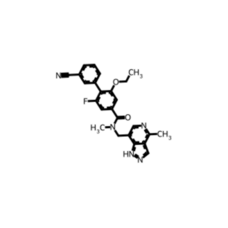 CCOc1cc(C(=O)N(C)Cc2cnc(C)c3cn[nH]c23)cc(F)c1-c1cccc(C#N)c1